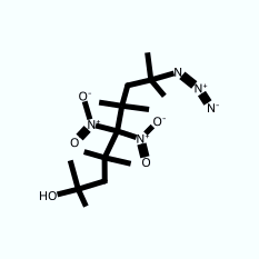 CC(C)(O)CC(C)(C)C([N+](=O)[O-])([N+](=O)[O-])C(C)(C)CC(C)(C)N=[N+]=[N-]